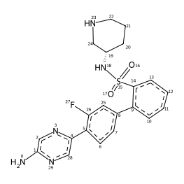 Nc1cnc(-c2ccc(-c3ccccc3S(=O)(=O)N[C@H]3CCCNC3)cc2F)cn1